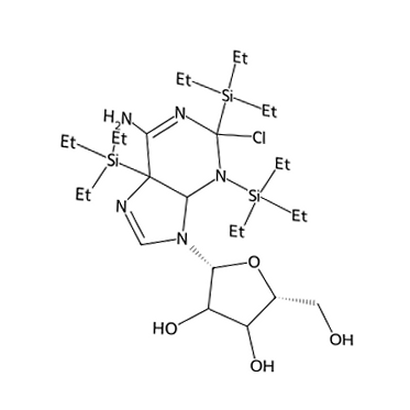 CC[Si](CC)(CC)N1C2N([C@@H]3O[C@H](CO)C(O)C3O)C=NC2([Si](CC)(CC)CC)C(N)=NC1(Cl)[Si](CC)(CC)CC